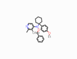 CCOc1ccc(C2(N(OCc3ccccc3)c3ccnc(C)c3OC)CCCCC2)cc1